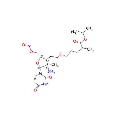 CC(C)OC(=O)C(C)CCCOCC[C@@H]1[C@@H](COP=O)O[C@@H](n2ccc(=O)[nH]c2=O)[C@]1(C)N